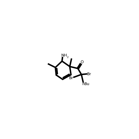 CCCCC(Br)(Br)C(=O)C1(C)C=CC=C(C)C1N